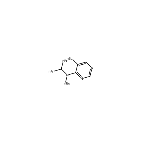 CCCCc1cncnc1N(CCCC)C(CCC)CCC